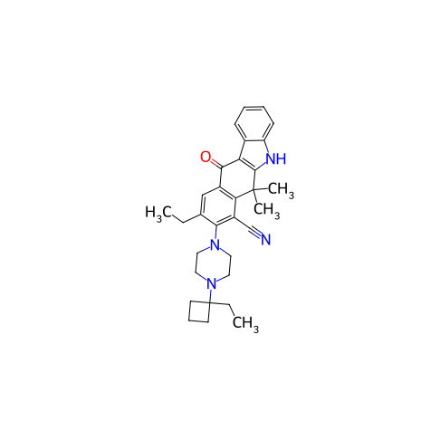 CCc1cc2c(c(C#N)c1N1CCN(C3(CC)CCC3)CC1)C(C)(C)c1[nH]c3ccccc3c1C2=O